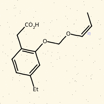 C/C=C\OCOc1cc(CC)ccc1CC(=O)O